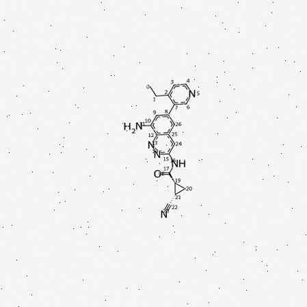 CCc1ccncc1-c1cc(N)c2nnc(NC(=O)[C@H]3C[C@@H]3C#N)cc2c1